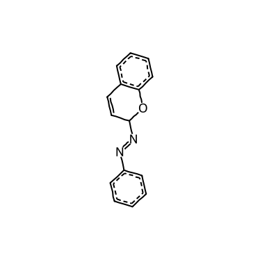 C1=CC(N=Nc2ccccc2)Oc2ccccc21